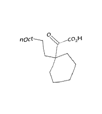 CCCCCCCCCCC1(C(=O)C(=O)O)CCCCC1